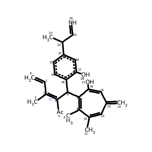 C=C/C(C)=C(/C(C)=O)C(C1=C(C)C(C)=CC(=C)C=C1O)c1ccc(C(C)C=N)cc1O